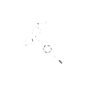 CC#CCOc1ccc(SCC2(C(=O)OC(C)C(C)(C)C)CCN(C(=O)O)CC2)cc1